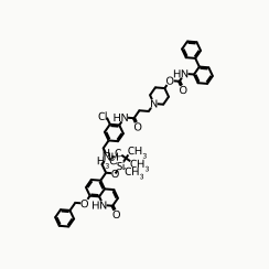 CC(C)(C)[Si](C)(C)OC(CNCc1ccc(NC(=O)CCN2CCC(OC(=O)Nc3ccccc3-c3ccccc3)CC2)c(Cl)c1)c1ccc(OCc2ccccc2)c2[nH]c(=O)ccc12